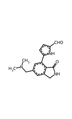 CN(C)Cc1cc2c(c(-c3ccc(C=O)[nH]3)c1)C(=O)NC2